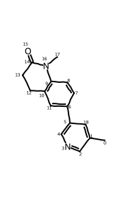 Cc1cncc(-c2ccc3c(c2)CCC(=O)N3C)c1